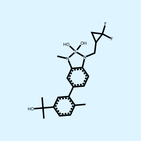 Cc1ccc(C(C)(C)O)cc1-c1ccc2c(c1)N(C)S(O)(O)N2CC1CC1(F)F